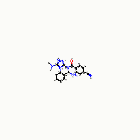 CN(C)c1nnc2n1-c1ccccc1C(N)N2C(=O)c1ccc(C#N)cc1